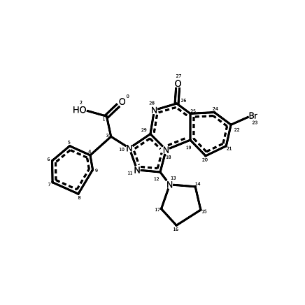 O=C(O)C(c1ccccc1)n1nc(N2CCCC2)n2c3ccc(Br)cc3c(=O)nc12